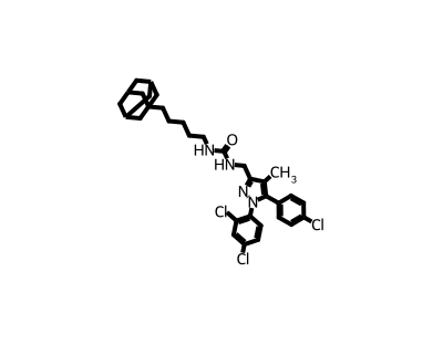 Cc1c(CNC(=O)NCCCCCC23CC4CC(CC(C4)C2)C3)nn(-c2ccc(Cl)cc2Cl)c1-c1ccc(Cl)cc1